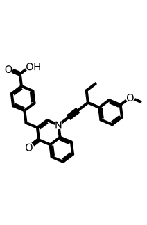 CCC(C#Cn1cc(Cc2ccc(C(=O)O)cc2)c(=O)c2ccccc21)c1cccc(OC)c1